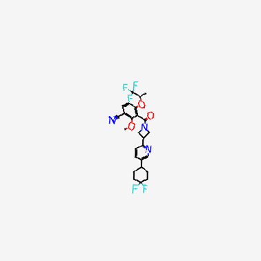 COc1c(C#N)ccc(O[C@H](C)C(F)(F)F)c1C(=O)N1CC(c2ccc(C3CCC(F)(F)CC3)cn2)C1